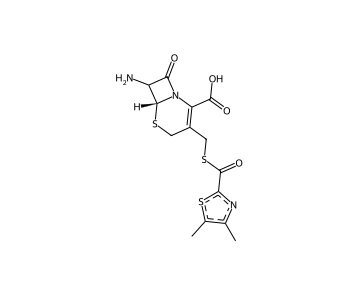 Cc1nc(C(=O)SCC2=C(C(=O)O)N3C(=O)C(N)[C@H]3SC2)sc1C